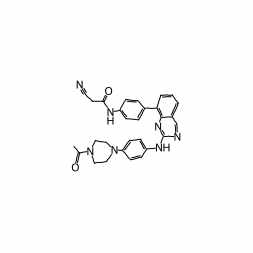 CC(=O)N1CCN(c2ccc(Nc3ncc4cccc(-c5ccc(NC(=O)CC#N)cc5)c4n3)cc2)CC1